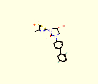 COC1CN(c2ccc(-c3cc(F)ccc3F)cc2)C(=O)N(c2nc(C)c(S(=O)(=O)O)s2)C1